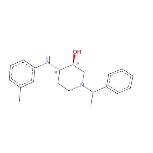 Cc1cccc(N[C@H]2CCN(C(C)c3ccccc3)C[C@@H]2O)c1